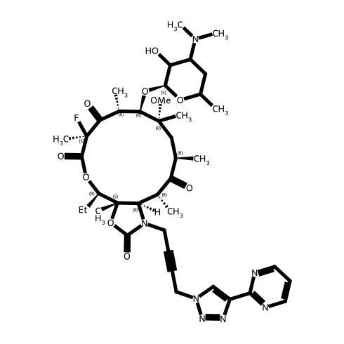 CC[C@H]1OC(=O)[C@@](C)(F)C(=O)[C@H](C)[C@@H](O[C@@H]2OC(C)CC(N(C)C)C2O)[C@](C)(OC)C[C@@H](C)C(=O)[C@H](C)[C@H]2N(CC#CCn3cc(-c4ncccn4)nn3)C(=O)O[C@]12C